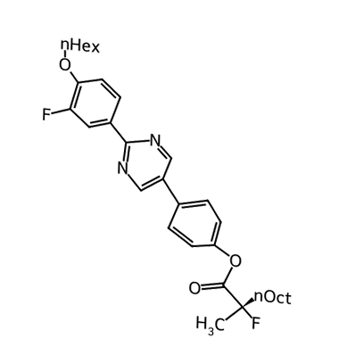 CCCCCCCC[C@](C)(F)C(=O)Oc1ccc(-c2cnc(-c3ccc(OCCCCCC)c(F)c3)nc2)cc1